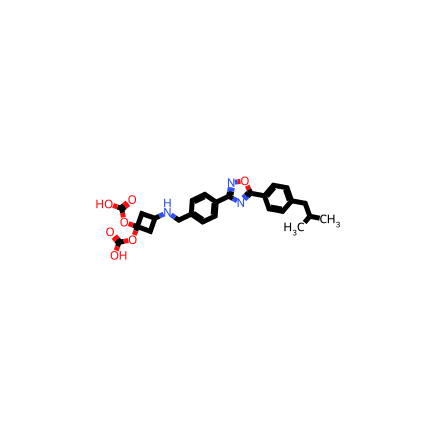 CC(C)Cc1ccc(-c2nc(-c3ccc(CNC4CC(OC(=O)O)(OC(=O)O)C4)cc3)no2)cc1